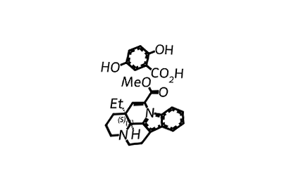 CC[C@@]12C=C(C(=O)OC)n3c4c(c5ccccc53)CCN(CCC1)[C@H]42.O=C(O)c1cc(O)ccc1O